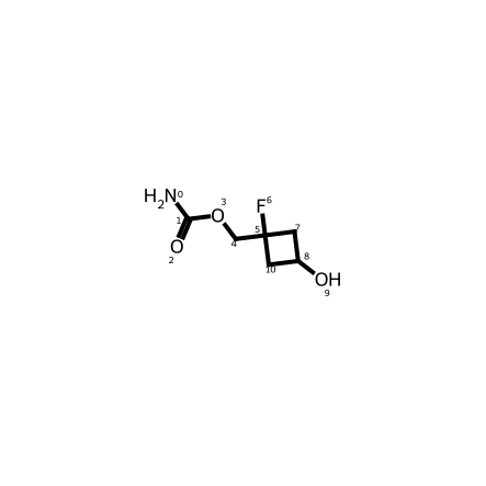 NC(=O)OCC1(F)CC(O)C1